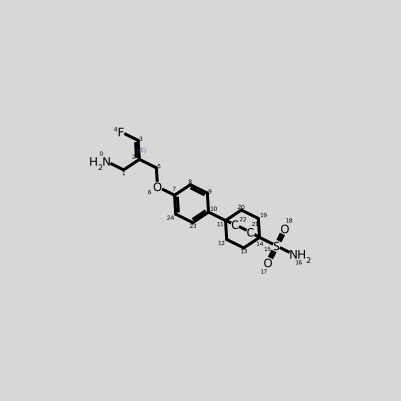 NC/C(=C\F)COc1ccc(C23CCC(S(N)(=O)=O)(CC2)CC3)cc1